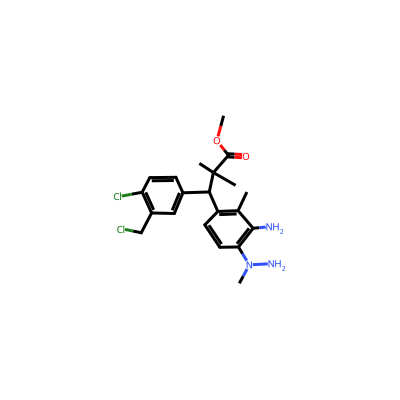 COC(=O)C(C)(C)C(c1ccc(Cl)c(CCl)c1)c1ccc(N(C)N)c(N)c1C